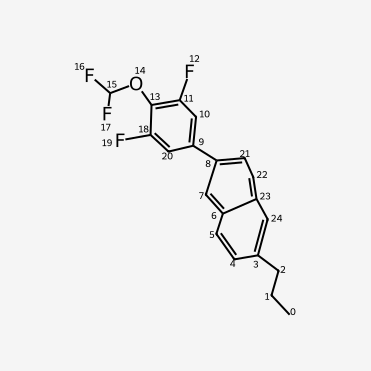 CCCc1ccc2cc(-c3cc(F)c(OC(F)F)c(F)c3)ccc2c1